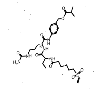 C=CS(=O)(=O)CCCCCC(=O)NC(CC)C(=O)N[C@H](CCCNC(N)=O)C(=O)Nc1ccc(COC(=O)C(C)C)cc1